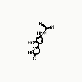 N#CC(C#N)=NNc1ccc(C2=NNC(=O)CC2)c(O)c1